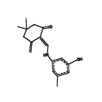 C=C1CC(C)(C)CC(=O)/C1=C/Nc1cc(C)cc(O)c1